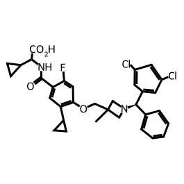 CC1(COc2cc(F)c(C(=O)NC(C(=O)O)C3CC3)cc2C2CC2)CN([C@H](c2ccccc2)c2cc(Cl)cc(Cl)c2)C1